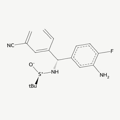 C=C/C(=C\C(=C)C#N)[C@@H](N[S@+]([O-])C(C)(C)C)c1ccc(F)c(N)c1